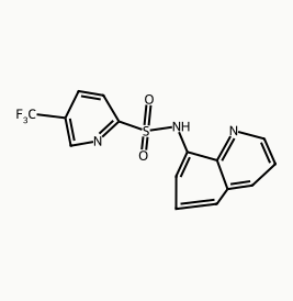 O=S(=O)(Nc1cccc2cccnc12)c1ccc(C(F)(F)F)cn1